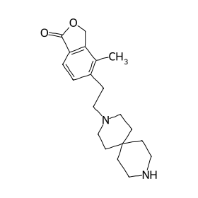 Cc1c(CCN2CCC3(CCNCC3)CC2)ccc2c1COC2=O